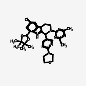 Cc1nc(C)nc(N2CCc3c([nH]c4c(B5OC(C)(C)C(C)(C)O5)cc(Cl)cc34)C2c2cnc(N3CCOCC3)nc2)n1